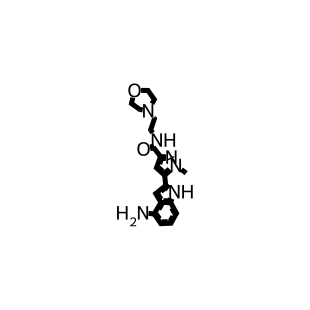 Cn1nc(C(=O)NCCN2CCOCC2)cc1-c1cc2c(N)cccc2[nH]1